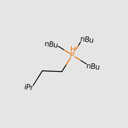 CCCC[PH](CCCC)(CCCC)CCC(C)C